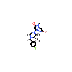 CC[C@H]1CN(C(C)c2ccc(F)cc2C(F)(F)F)[C@H](CC)CN1c1cc(=O)n(C)c2cc(Br)nn12